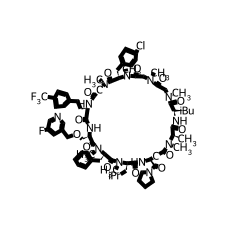 CC[C@H](C)[C@@H]1NC(=O)[C@H](C)N(C)C(=O)C[C@@H](C(=O)N2CCCC2)NC(=O)[C@H](CC(C)C)N(C)C(=O)[C@H](Cc2ccccc2)N(C)C(=O)[C@H](COCc2cncc(F)c2)NC(=O)[C@H](CCc2ccc(C(F)(F)F)cc2)NC(=O)CN(C)C(=O)[C@H](Cc2ccc(Cl)cc2)N(C)C(=O)CN(C)C(=O)CN(C)C1=O